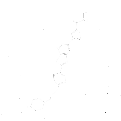 O=C(NCC(F)(F)F)c1cc(-c2cnc3[nH]c(-c4ccc(OCCN5CCNCC5)cc4)cc3c2)cs1